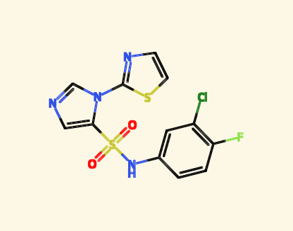 O=S(=O)(Nc1ccc(F)c(Cl)c1)c1cncn1-c1nccs1